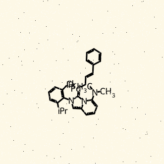 CC(C)c1cccc(C(C)C)c1-n1cc2cccc(N(C)C)n2[c]1=[Pd]([Cl])[CH2]C=Cc1ccccc1